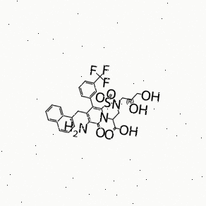 Nc1c(Cc2cccc3ccccc23)c(-c2cccc(C(F)(F)F)c2)c2n(c1=O)C(C(=O)O)CN(C[C@@H](O)CO)S2(=O)=O